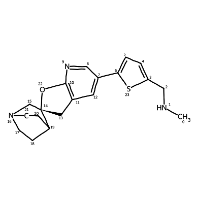 CNCc1ccc(-c2cnc3c(c2)C[C@@]2(CN4CCC2CC4)O3)s1